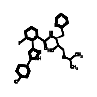 CC(C)OC[C@@H](O)[C@@H](Cc1ccccn1)NC(=O)c1cccc(F)c1-c1cc(-c2ccc(Cl)cc2)[nH]n1